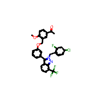 COc1ccc(C(C)=O)cc1COc1cccc(-c2c3cccc(C(F)(F)F)c3nn2Cc2ccc(Cl)cc2F)c1